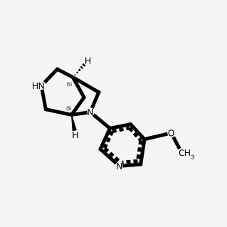 COc1cncc(N2C[C@@H]3CNC[C@@H]2C3)c1